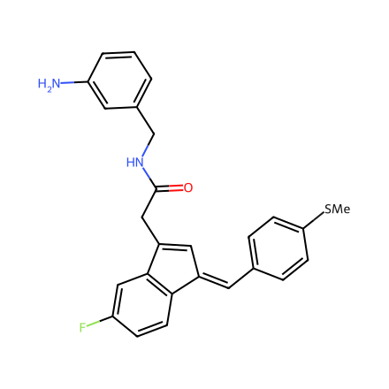 CSc1ccc(/C=C2\C=C(CC(=O)NCc3cccc(N)c3)c3cc(F)ccc32)cc1